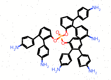 Nc1ccc(-c2cccc(OP(=O)(Oc3cccc(-c4ccc(N)cc4)c3-c3ccc(N)cc3)Oc3cccc(-c4ccc(N)cc4)c3-c3ccc(N)cc3)c2-c2ccc(N)cc2)cc1